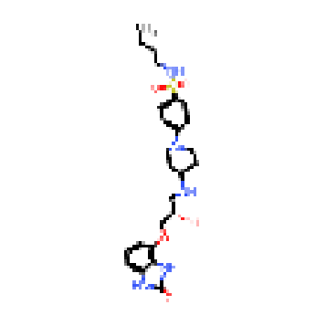 CCCCNS(=O)(=O)c1ccc(N2CCC(NC[C@H](O)COc3cccc4[nH]c(=O)[nH]c34)CC2)cc1